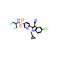 N#Cc1c(-c2ccc(S(=O)(=O)NC(CF)CF)cn2)n(CC2CC2)c2ccc(Cl)cc12